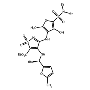 CCOC(=O)C1=C(N[C@@H](c2ccc(C)o2)C(C)(C)C)C(Nc2c(C)sc(S(=O)(=O)N(CC)CC)c2O)=NS1(=O)=O